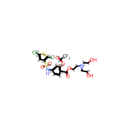 O=C(OCCN(CCO)CCO)c1ccc(NS(=O)(=O)c2cc(Cl)sc2Cl)cc1OC(=O)C(F)(F)F